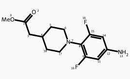 COC(=O)CC1CCN(c2c(F)cc(N)cc2F)CC1